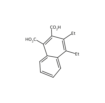 CCc1c(C(=O)O)c(C(=O)O)c2ccccc2c1CC